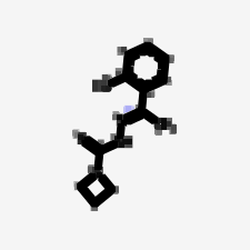 C/C(=N\NC(=S)N1CCC1)c1ccccc1O